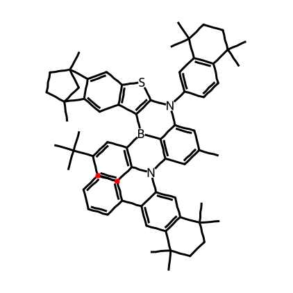 Cc1cc2c3c(c1)N(c1ccc4c(c1)C(C)(C)CCC4(C)C)c1sc4cc5c(cc4c1B3c1cc(C(C)(C)C)ccc1N2c1cc2c(cc1-c1ccccc1)C(C)(C)CCC2(C)C)C1(C)CCC5(C)C1